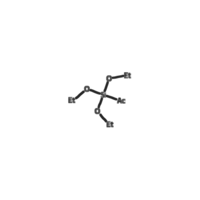 CCO[Si](OCC)(OCC)C(C)=O